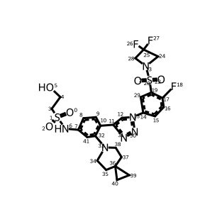 O=S(=O)(CCO)Nc1ccc(-c2cn(-c3ccc(F)c(S(=O)(=O)N4CC(F)(F)C4)c3)nn2)c(N2CCC3(CC2)CC3)c1